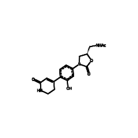 CC(=O)NC[C@H]1CN(c2ccc(C3=CC(=O)NCC3)c(O)c2)C(=O)O1